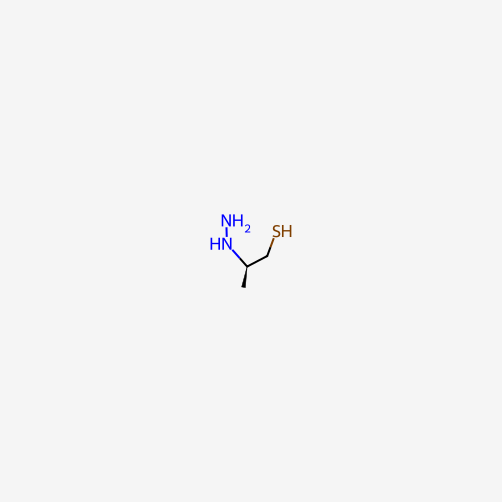 C[C@H](CS)NN